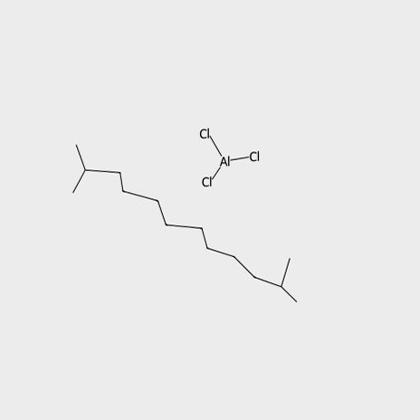 CC(C)CCCCCCCCC(C)C.[Cl][Al]([Cl])[Cl]